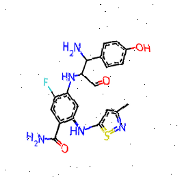 Cc1cc(Nc2cc(NC(C=O)C(N)c3ccc(O)cc3)c(F)cc2C(N)=O)sn1